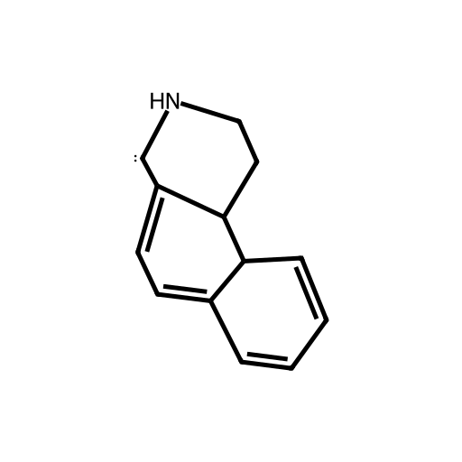 [C]1NCCC2C1=CC=C1C=CC=CC12